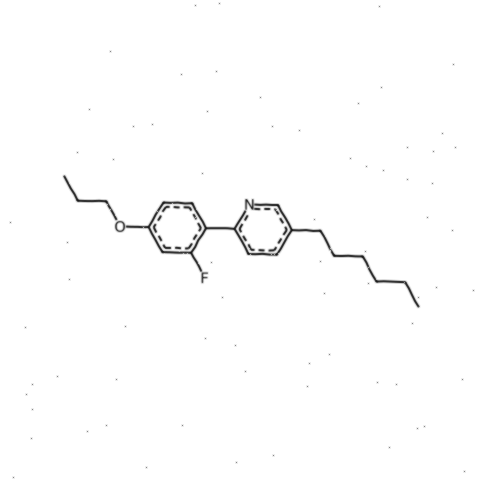 CCCCCCc1ccc(-c2ccc(OCCC)cc2F)nc1